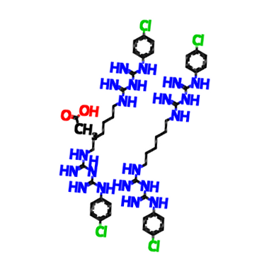 CC(=O)O.N=C(NCCCCCCNC(=N)NC(=N)Nc1ccc(Cl)cc1)NC(=N)Nc1ccc(Cl)cc1.N=C(NCCCCCCNC(=N)NC(=N)Nc1ccc(Cl)cc1)NC(=N)Nc1ccc(Cl)cc1